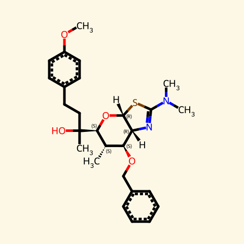 COc1ccc(CCC(C)(O)[C@H]2O[C@@H]3SC(N(C)C)=N[C@@H]3[C@@H](OCc3ccccc3)[C@@H]2C)cc1